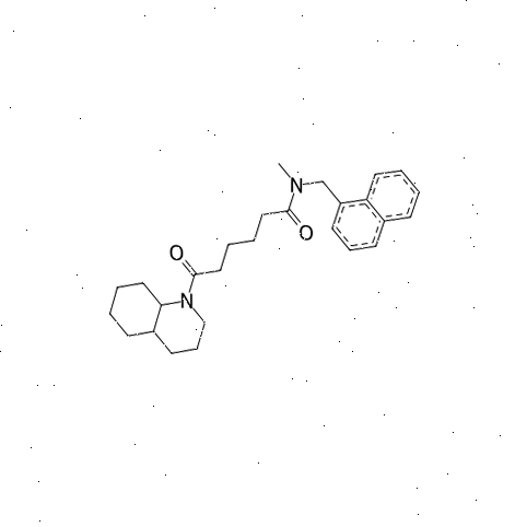 CN(Cc1cccc2ccccc12)C(=O)CCCCC(=O)N1CCCC2CCCCC21